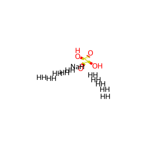 O=S(=O)(O)O.[HH].[HH].[HH].[HH].[HH].[HH].[HH].[HH].[HH].[HH].[NaH]